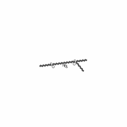 CCCCCCCCCOC(=O)CCCCCCCC(CCCCCCCC(=O)OC(CCCCCCCC)CCCCCCCC)N=C=S